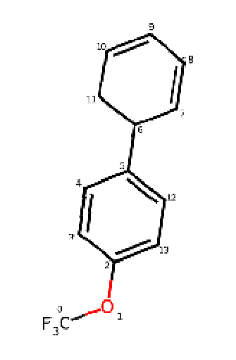 FC(F)(F)Oc1ccc(C2C=[C]C=CC2)cc1